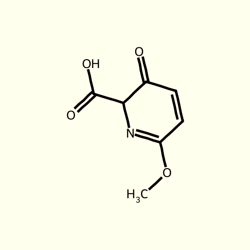 COC1=NC(C(=O)O)C(=O)C=C1